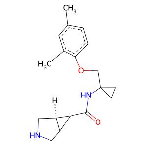 Cc1ccc(OCC2(NC(=O)C3C4CNC[C@H]43)CC2)c(C)c1